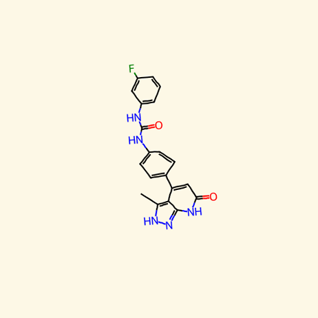 Cc1[nH]nc2[nH]c(=O)cc(-c3ccc(NC(=O)Nc4cccc(F)c4)cc3)c12